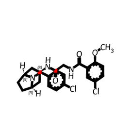 COc1ccc(Cl)cc1C(=O)NCC(=O)N[C@H]1C[C@H]2CC[C@@H](C1)N2Cc1ccc(Cl)cc1